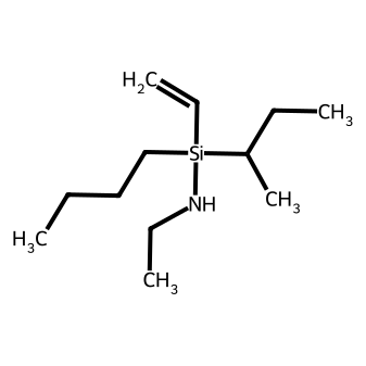 C=C[Si](CCCC)(NCC)C(C)CC